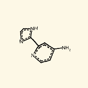 Nc1ccnc(-c2ncc[nH]2)c1